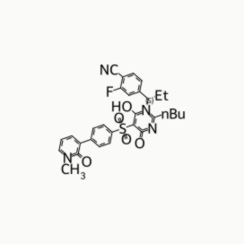 CCCCc1nc(=O)c(S(=O)(=O)c2ccc(-c3cccn(C)c3=O)cc2)c(O)n1[C@@H](CC)c1ccc(C#N)c(F)c1